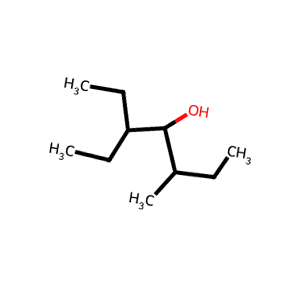 CCC(C)C(O)C(CC)CC